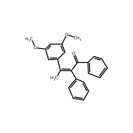 COc1cc(OC)cc(C(C)=C(C(=O)c2ccccc2)c2ccccc2)c1